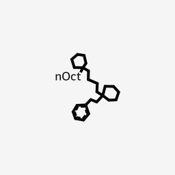 CCCCCCCCC1(CCCCC2(CCc3ccccc3)CCCCC2)CCCCC1